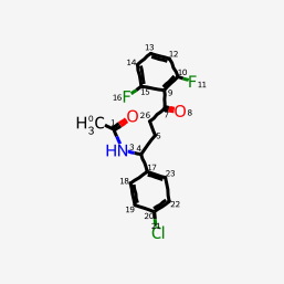 CC(=O)NC(CCC(=O)c1c(F)cccc1F)c1ccc(Cl)cc1